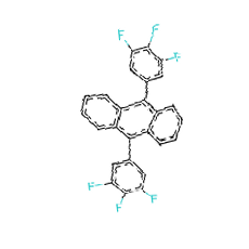 Fc1cc(-c2c3ccccc3c(-c3cc(F)c(F)c(F)c3)c3ccccc23)cc(F)c1F